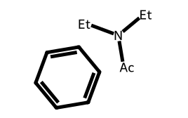 CCN(CC)C(C)=O.c1ccccc1